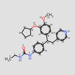 CCNC(=O)Nc1ccc(C(Cc2ccncc2)c2ccc(OC)c(OC3CCCC3)c2)cc1